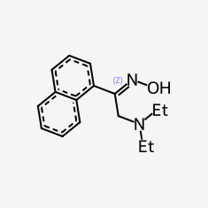 CCN(CC)C/C(=N\O)c1cccc2ccccc12